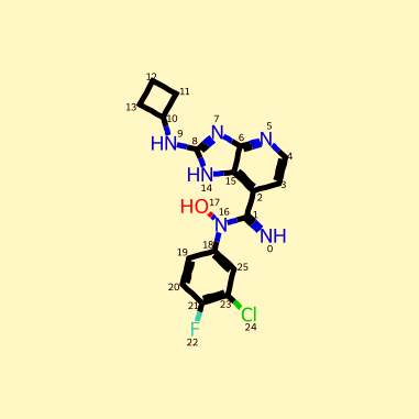 N=C(c1ccnc2nc(NC3CCC3)[nH]c12)N(O)c1ccc(F)c(Cl)c1